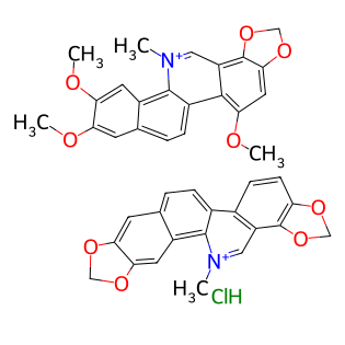 COc1cc2ccc3c4c(OC)cc5c(c4c[n+](C)c3c2cc1OC)OCO5.C[n+]1cc2c3c(ccc2c2ccc4cc5c(cc4c21)OCO5)OCO3.Cl